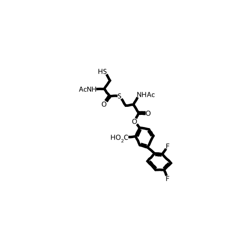 CC(=O)NC(CSC(=O)C(CS)NC(C)=O)C(=O)Oc1ccc(-c2ccc(F)cc2F)cc1C(=O)O